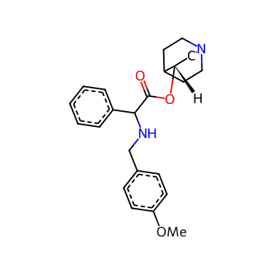 COc1ccc(CNC(C(=O)O[C@H]2CN3CCC2CC3)c2ccccc2)cc1